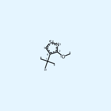 COc1nscc1C(C)(C)C